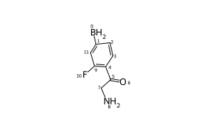 Bc1ccc(C(=O)CN)c(F)c1